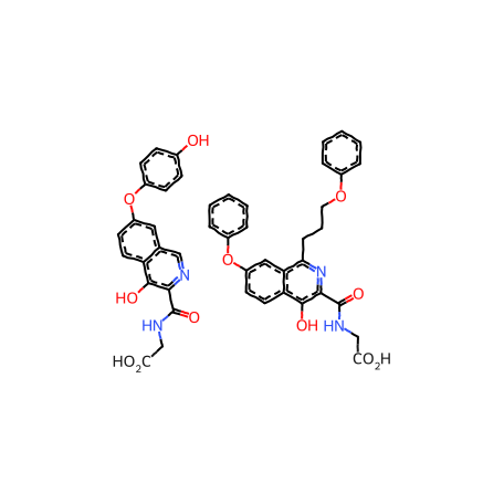 O=C(O)CNC(=O)c1nc(CCCOc2ccccc2)c2cc(Oc3ccccc3)ccc2c1O.O=C(O)CNC(=O)c1ncc2cc(Oc3ccc(O)cc3)ccc2c1O